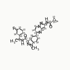 C[C@H](NC(=O)c1nn(C)c2ccc(-c3ccn4nc(NC(=O)C5CC5)cc4n3)cc12)c1cccc(F)c1